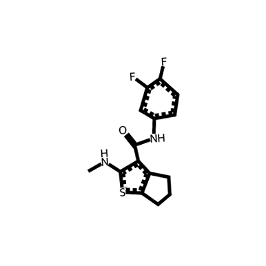 CNc1sc2c(c1C(=O)Nc1ccc(F)c(F)c1)CCC2